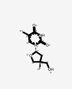 O=c1[nH]c(=O)n([C@@H]2C[C@](F)(CO)CO2)cc1I